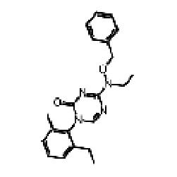 CCc1cccc(C)c1-n1cnc(N(CC)OCc2ccccc2)nc1=O